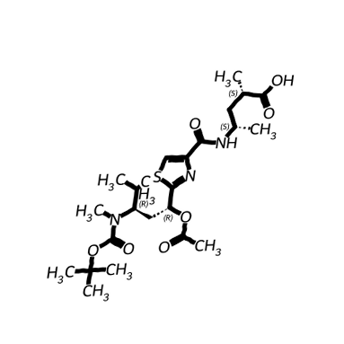 CC(=O)O[C@H](C[C@H](C(C)C)N(C)C(=O)OC(C)(C)C)c1nc(C(=O)N[C@@H](C)C[C@H](C)C(=O)O)cs1